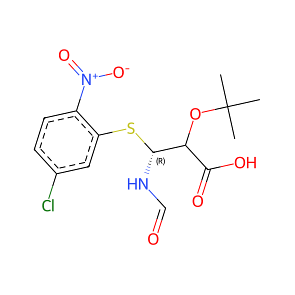 CC(C)(C)OC(C(=O)O)[C@H](NC=O)Sc1cc(Cl)ccc1[N+](=O)[O-]